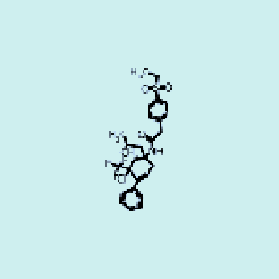 CCS(=O)(=O)c1ccc(CC(=O)NC2(CC(C)C)CC=C(c3ccccc3)C(Cl)(C(F)(F)F)C2)cc1